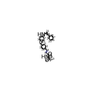 CCS(=O)(=O)NC(=O)/C=C/c1ccc(CN2CCC(NC3C[C@H]3c3ccccc3)CC2)cc1